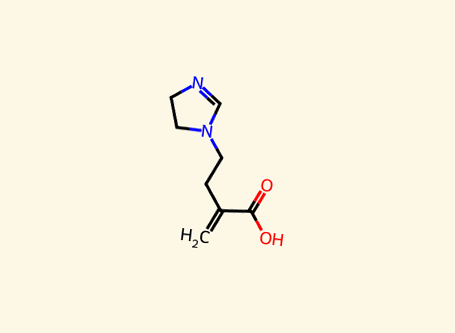 C=C(CCN1C=NCC1)C(=O)O